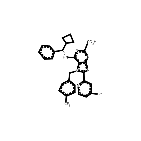 CC(C)c1ccnc(-c2nc3nc(C(=O)O)nc(N[C@H](c4ccccc4)C4CCC4)c3n2Cc2ccc(C(F)(F)F)cc2)c1